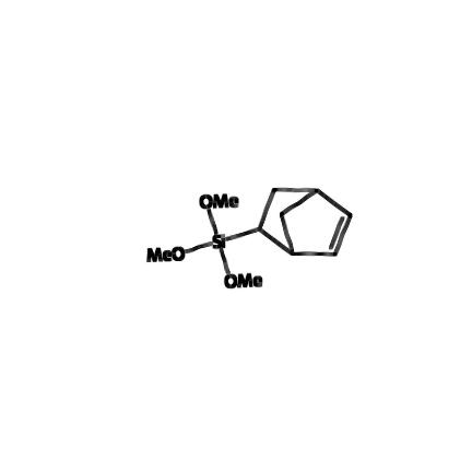 CO[Si](OC)(OC)C1CC2C=CC1C2